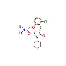 CCN(CC)C(=O)COc1cccc(Cl)c1CC1CCN(C2CCCCC2)C1=O